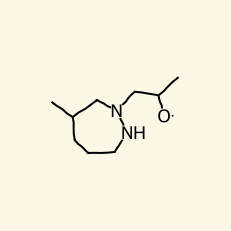 CC([O])CN1CC(C)CCCN1